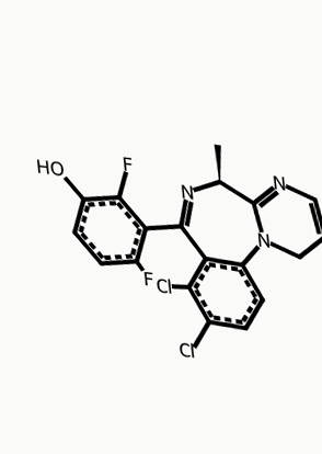 C[C@@H]1N=C(c2c(F)ccc(O)c2F)c2c(ccc(Cl)c2Cl)N2CC=CN=C12